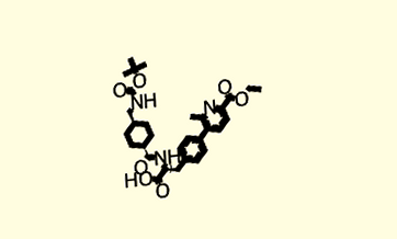 CCOC(=O)c1ccc(-c2ccc(C[C@H](NC(=O)[C@H]3CC[C@H](CNC(=O)OC(C)(C)C)CC3)C(=O)O)cc2)c(C)n1